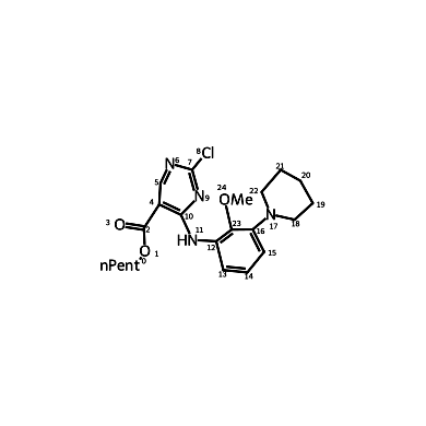 CCCCCOC(=O)c1cnc(Cl)nc1Nc1cccc(N2CCCCC2)c1OC